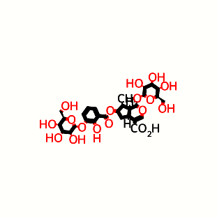 C[C@H]1C(OC(=O)c2cccc(O[C@@H]3O[C@H](CO)[C@@H](O)[C@H](O)[C@H]3O)c2O)C[C@@H]2C(C(=O)O)=CO[C@@H](O[C@@H]3O[C@H](CO)[C@@H](O)[C@H](O)[C@H]3O)[C@@H]21